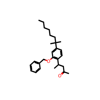 CCCCCCC(C)(C)c1ccc(C(C)CC(C)=O)c(OCc2ccccc2)c1